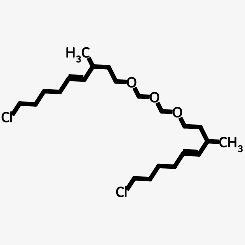 CC(C=CCCCCCl)CCOCOCOCCC(C)C=CCCCCCl